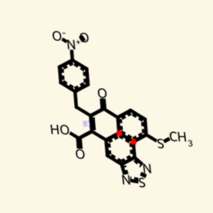 CSc1ccc(C(=O)/C(Cc2ccc([N+](=O)[O-])cc2)=C(/C(=O)O)c2ccc3nsnc3c2)cc1